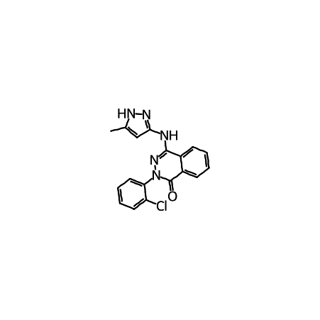 Cc1cc(Nc2nn(-c3ccccc3Cl)c(=O)c3ccccc23)n[nH]1